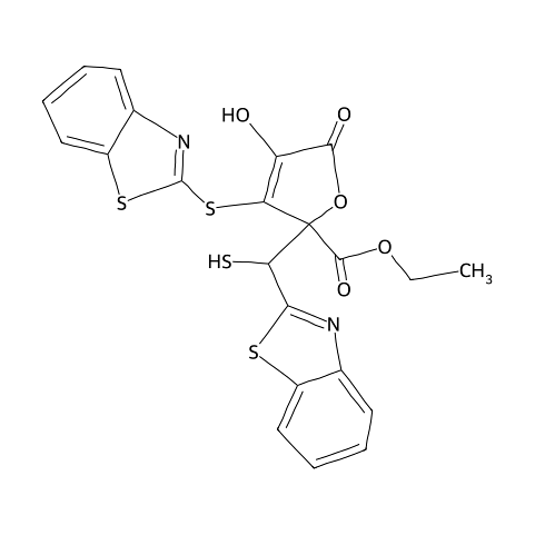 CCOC(=O)C1(C(S)c2nc3ccccc3s2)OC(=O)C(O)=C1Sc1nc2ccccc2s1